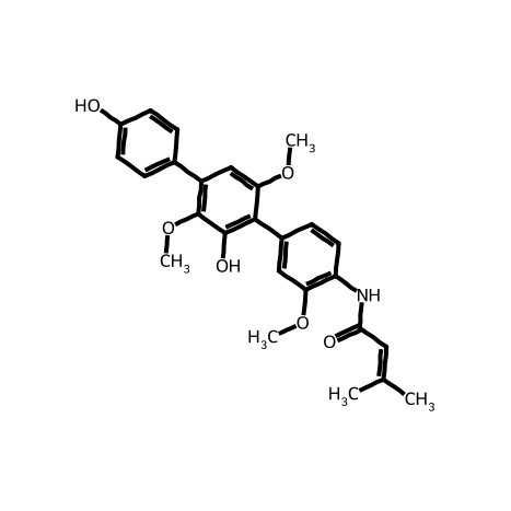 COc1cc(-c2c(OC)cc(-c3ccc(O)cc3)c(OC)c2O)ccc1NC(=O)C=C(C)C